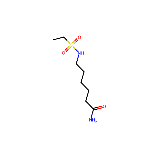 CCS(=O)(=O)NCCCCCC(N)=O